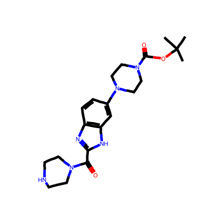 CC(C)(C)OC(=O)N1CCN(c2ccc3nc(C(=O)N4CCNCC4)[nH]c3c2)CC1